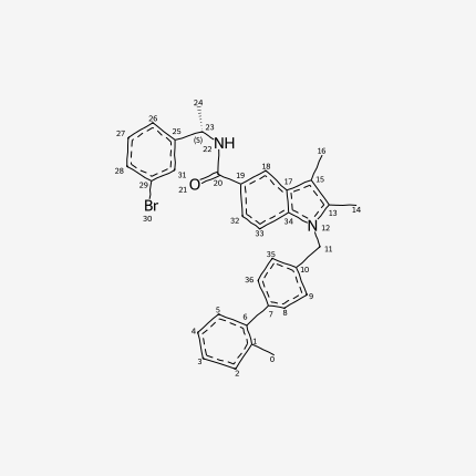 Cc1ccccc1-c1ccc(Cn2c(C)c(C)c3cc(C(=O)N[C@@H](C)c4cccc(Br)c4)ccc32)cc1